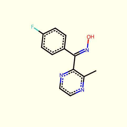 Cc1nccnc1C(=NO)c1ccc(F)cc1